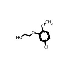 [CH2-][CH+]c1ccc(Cl)cc1OCCO